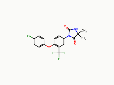 CC1(C)NC(=O)N(c2ccc(Oc3ccc(Cl)cc3)c(C(F)(F)F)c2)C1=O